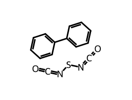 O=C=NSN=C=O.c1ccc(-c2ccccc2)cc1